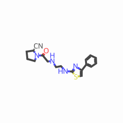 N#C[C@@H]1CCCN1C(=O)CNCCNc1nc(-c2ccccc2)cs1